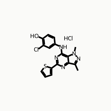 Cc1nn(C)c2c(Nc3ccc(O)c(Cl)c3)nc(-c3cccs3)nc12.Cl